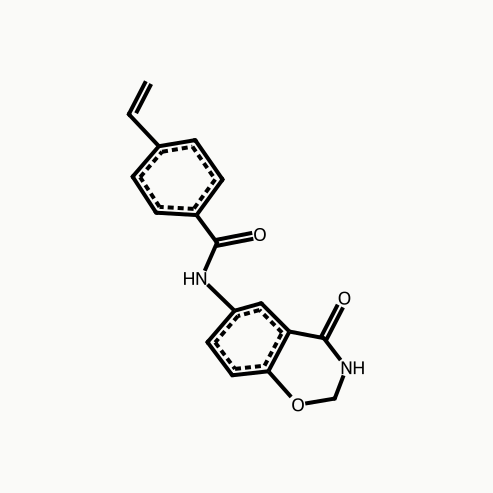 C=Cc1ccc(C(=O)Nc2ccc3c(c2)C(=O)NCO3)cc1